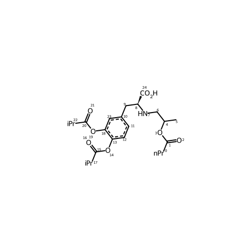 CCCC(=O)OC(C)CN[C@@H](Cc1ccc(OC(=O)C(C)C)c(OC(=O)C(C)C)c1)C(=O)O